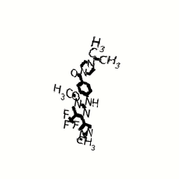 COc1cc(C(=O)N2CCN(C(C)C)CC2)ccc1Nc1ncc(C(F)(F)F)c(-c2cnn(C)c2)n1